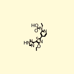 CCOc1nc(-c2ccnc(N(CC)C(=O)O)c2)sc1-c1nc[nH]n1